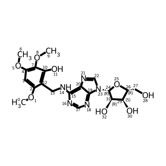 COc1cc(OC)c(OC)c(O)c1CNc1ncnc2c1ncn2[C@@H]1O[C@H](CO)[C@@H](O)[C@H]1O